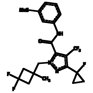 CSc1cccc(NC(=O)c2c(C(F)(F)F)c(C3(F)CC3)nn2CC2(C)CC(F)(F)C2)c1